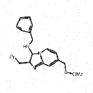 COOCC1=CC2=NC(CC(C)C)C(NCc3ccccc3)N2C=C1